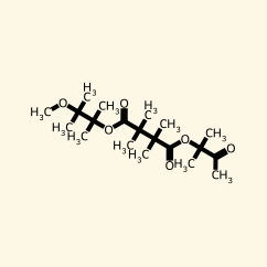 COC(C)(C)C(C)(C)OC(=O)C(C)(C)C(C)(C)C(=O)OC(C)(C)C(C)=O